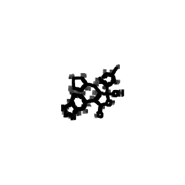 Cc1csc(C2(O)OC(=O)C(c3ccc4nsnc4c3)=C2CC2CCCC2)c1